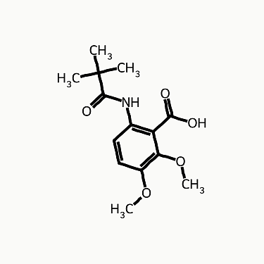 COc1ccc(NC(=O)C(C)(C)C)c(C(=O)O)c1OC